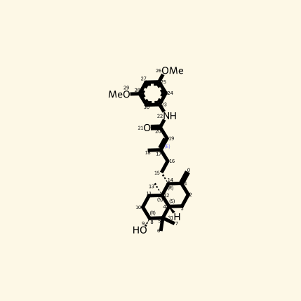 C=C1CC[C@@H]2C(C)(C)[C@H](O)CC[C@@]2(C)[C@@H]1CC/C(C)=C/C(=O)Nc1cc(OC)cc(OC)c1